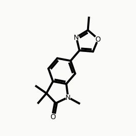 Cc1nc(-c2ccc3c(c2)N(C)C(=O)C3(C)C)co1